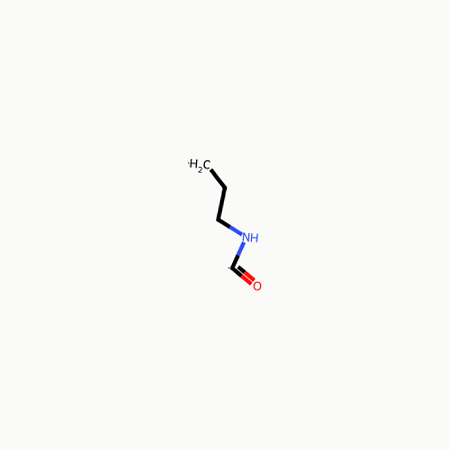 [CH2]CCN[C]=O